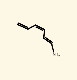 C=C/C=C\C=C\N